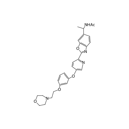 CC(=O)NC(C)c1ccc2nc(-c3ccc(Oc4cccc(OCCN5CCOCC5)c4)cn3)oc2c1